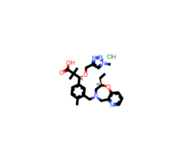 CC[C@@H]1CN(Cc2cc([C@@H](OCc3cn(C)nn3)C(C)(C)C(=O)O)ccc2C)Cc2ncccc2O1.Cl